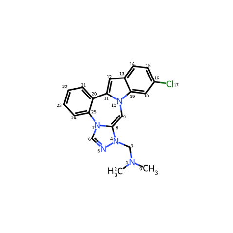 CN(C)CN1N=CN2C1=Cn1c(cc3ccc(Cl)cc31)-c1ccccc12